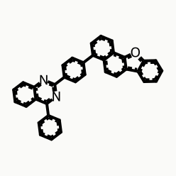 c1ccc(-c2nc(-c3ccc(-c4cccc5c4ccc4c6ccccc6oc54)cc3)nc3ccccc23)cc1